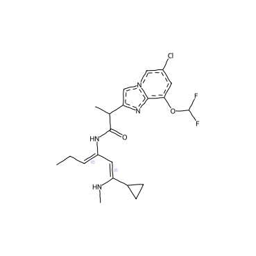 CC/C=C(/C=C(\NC)C1CC1)NC(=O)C(C)c1cn2cc(Cl)cc(OC(F)F)c2n1